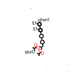 C=C(C)C(=O)OCC(COC(=O)C(=C)COC)CC1CCC(C2CCC(c3ccc(-c4ccc(CCCCC)c(CC)c4)c(CC)c3)CC2)CC1